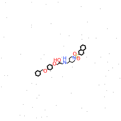 O=S(=O)(c1ccc2ccccc2c1)N1CCC(CNC[C@H](O)COc2ccc(OCc3ccccc3)cc2)CC1